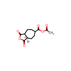 CC(=O)OC(=O)C1CCC2C(=O)OC(=O)[C@@H]2CC1